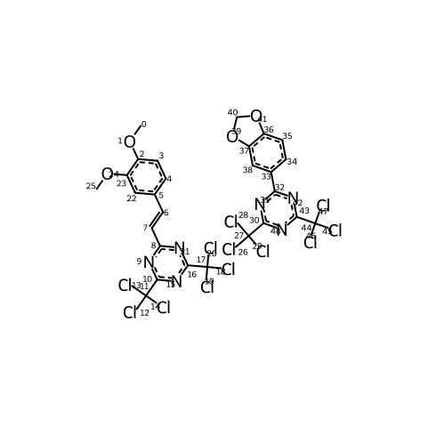 COc1ccc(/C=C/c2nc(C(Cl)(Cl)Cl)nc(C(Cl)(Cl)Cl)n2)cc1OC.ClC(Cl)(Cl)c1nc(-c2ccc3c(c2)OCO3)nc(C(Cl)(Cl)Cl)n1